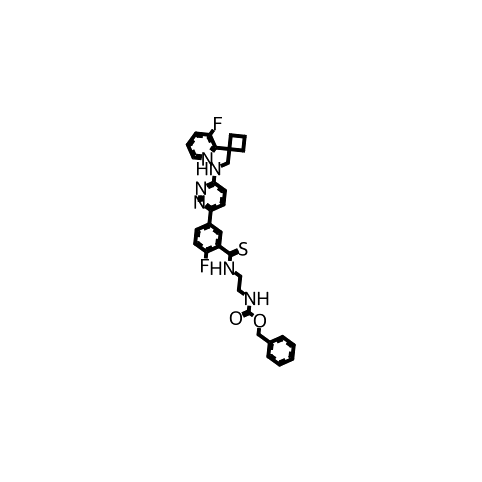 O=C(NCCNC(=S)c1cc(-c2ccc(NCC3(c4ncccc4F)CCC3)nn2)ccc1F)OCc1ccccc1